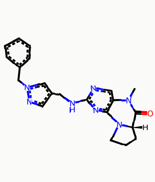 CN1C(=O)[C@@H]2CCCN2c2nc(NCc3cnn(Cc4ccccc4)c3)ncc21